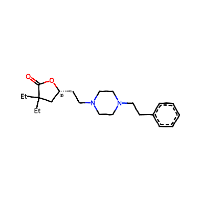 CCC1(CC)C[C@@H](CCN2CCN(CCc3ccccc3)CC2)OC1=O